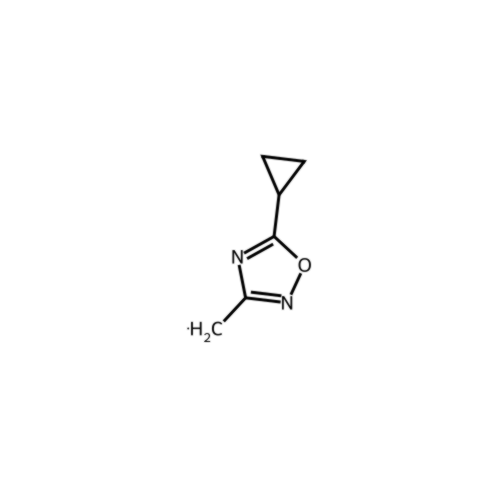 [CH2]c1noc(C2CC2)n1